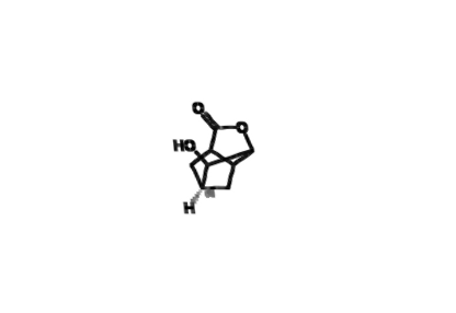 O=C1OC2C3C[C@@H](CC13)C2O